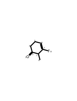 CC1C(=O)CCC=C1F